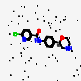 O=C(Nc1ccc([C@@H]2CNCCO2)cc1)c1ccc(Cl)nc1